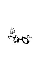 CSc1cccc(-c2csc(C(N)=O)n2)c1